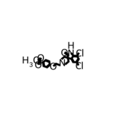 CS(=O)(=O)c1ccc(OCCN2CCC3(CC2)C(=O)Nc2c(Cl)cc(Cl)cc23)cc1